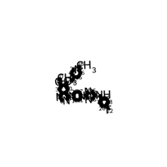 COc1cc2ncnc(N3CCN(c4ncc(Nc5ccc(F)cc5)cn4)CC3)c2cc1OCC1CCN(C)CC1